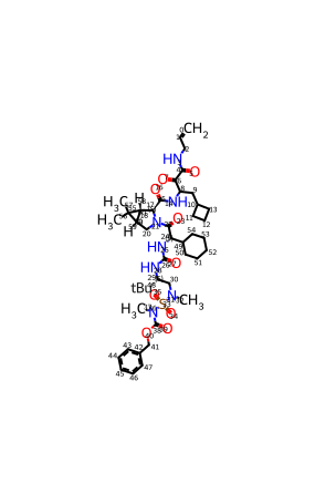 C=CCNC(=O)C(=O)C(CC1CCC1)NC(=O)[C@@H]1[C@@H]2[C@H](CN1C(=O)[C@@H](NC(=O)N[C@H](CN(C)S(=O)(=O)N(C)C(=O)OCc1ccccc1)C(C)(C)C)C1CCCCC1)C2(C)C